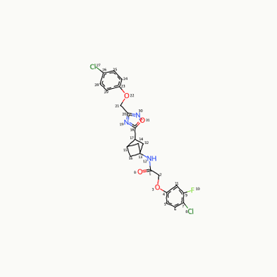 O=C(COc1ccc(Cl)c(F)c1)NC12CC(C1)C(c1nc(COc3ccc(Cl)cc3)no1)C2